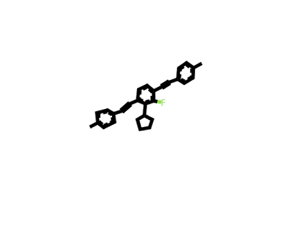 Cc1ccc(C#Cc2ccc(C#Cc3ccc(C)cc3)c(C3CCCC3)c2F)cc1